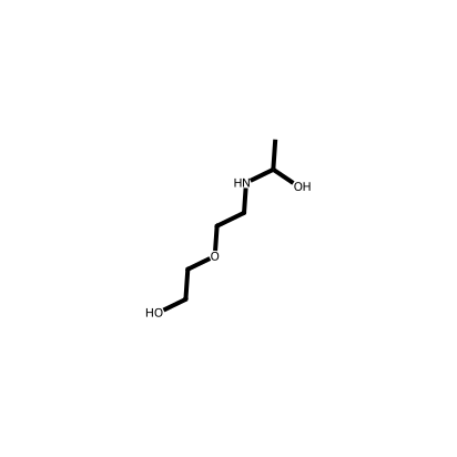 CC(O)NCCOCCO